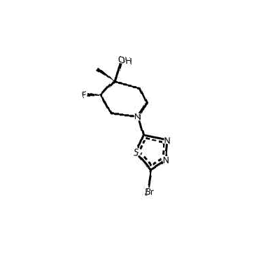 C[C@@]1(O)CCN(c2nnc(Br)s2)C[C@H]1F